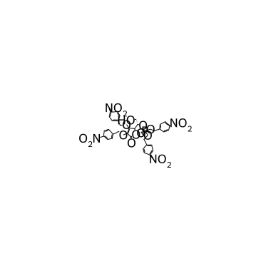 O=C1O[C@H]([C@H](CO)OP(=O)(OCc2ccc([N+](=O)[O-])cc2)OCc2ccc([N+](=O)[O-])cc2)C(OCc2ccc([N+](=O)[O-])cc2)=C1OCc1ccc([N+](=O)[O-])cc1